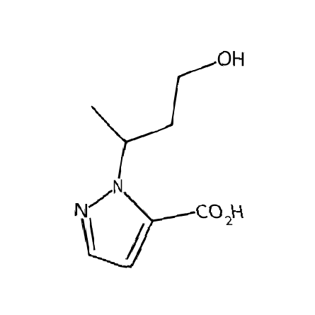 CC(CCO)n1nccc1C(=O)O